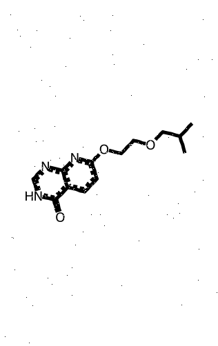 CC(C)COCCOc1ccc2c(=O)[nH]cnc2n1